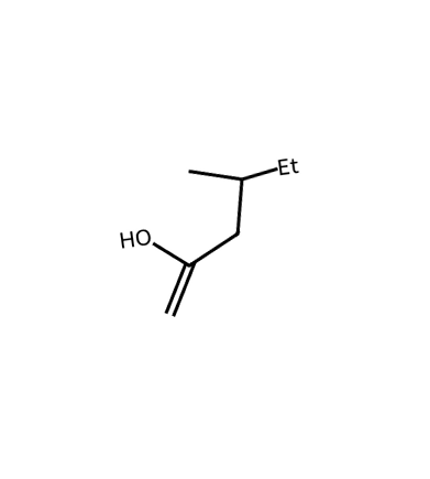 C=C(O)CC(C)CC